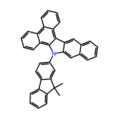 CC1(C)c2ccccc2-c2ccc(-n3c4cc5ccccc5cc4c4c5ccccc5c5ccccc5c43)cc21